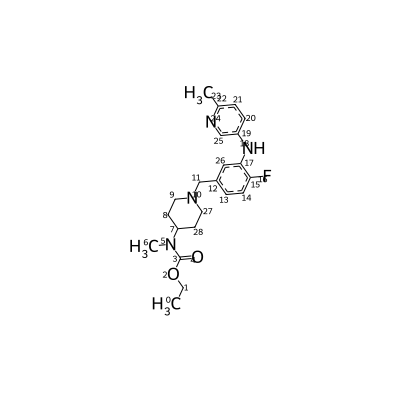 CCOC(=O)N(C)C1CCN(Cc2ccc(F)c(Nc3ccc(C)nc3)c2)CC1